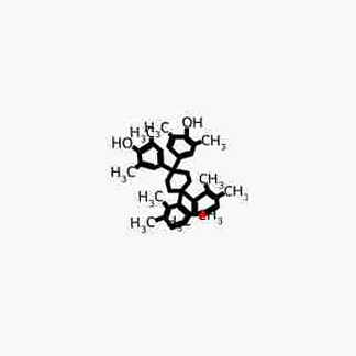 Cc1ccc(C)c(C2(c3c(C)ccc(C)c3C)CCC(c3cc(C)c(O)c(C)c3)(c3cc(C)c(O)c(C)c3)CC2)c1C